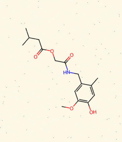 COc1cc(CNC(=O)COC(=O)CC(C)C)c(C)cc1O